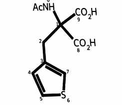 CC(=O)NC(Cc1ccsc1)(C(=O)O)C(=O)O